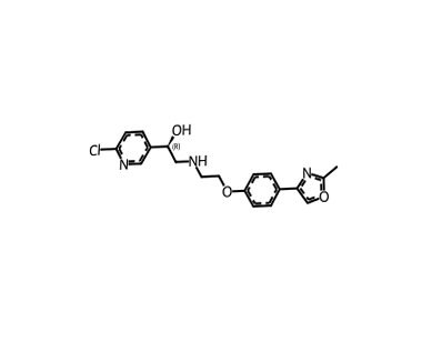 Cc1nc(-c2ccc(OCCNC[C@H](O)c3ccc(Cl)nc3)cc2)co1